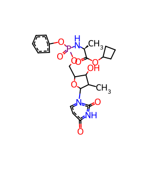 CC1C(O)C(COP(=O)(N[C@@H](C)C(=O)OC2CCC2)Oc2ccccc2)OC1n1ccc(=O)[nH]c1=O